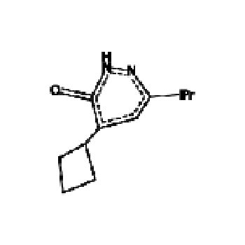 CC(C)c1cc(C2CCC2)c(=O)[nH]n1